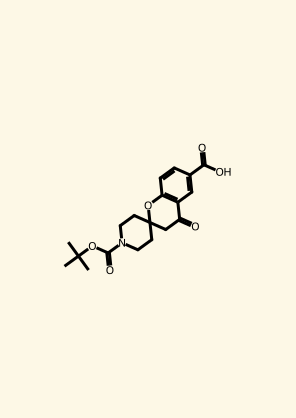 CC(C)(C)OC(=O)N1CCC2(CC1)CC(=O)c1cc(C(=O)O)ccc1O2